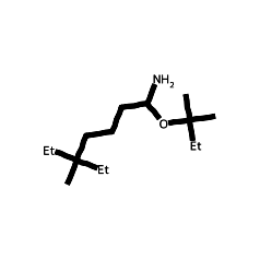 CCC(C)(CC)CCCC(N)OC(C)(C)CC